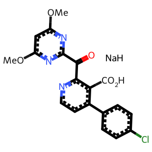 COc1cc(OC)nc(C(=O)c2nccc(-c3ccc(Cl)cc3)c2C(=O)O)n1.[NaH]